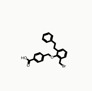 O=C(O)c1ccc(COc2c(CBr)cccc2CCc2ccccc2)cc1